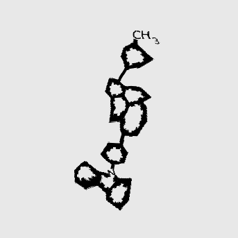 Cc1ccc(-c2ccc3ccc4c(-c5ccc(-n6c7ccccc7c7ccccc76)cc5)ccc5ccc2c3c54)cc1